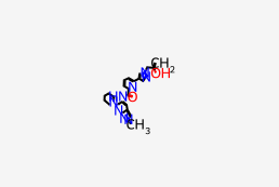 C=C(O)Cn1cc(-c2cccc(C(=O)Nc3cc4cn(C)nc4nc3N3CCCCC3)n2)cn1